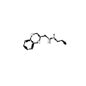 C=CCNNCC1COc2ccccc2O1